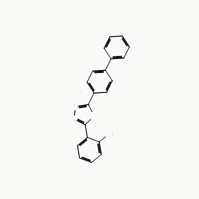 Oc1ccccc1-c1nnc(-c2ccc(-c3ccccc3)cc2)o1.[BeH2]